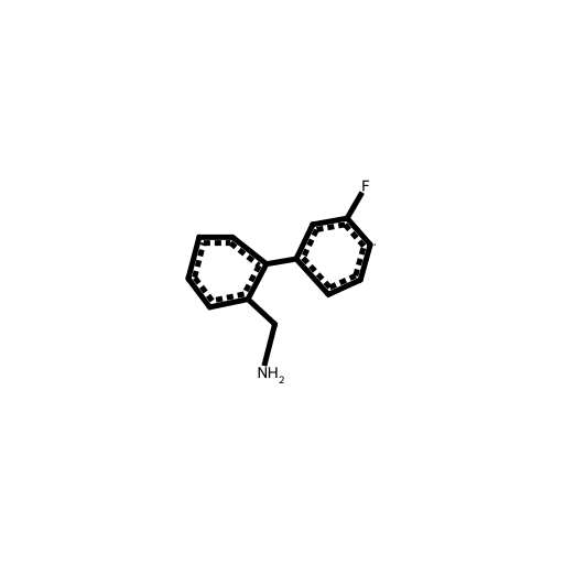 NCc1ccccc1-c1cc[c]c(F)c1